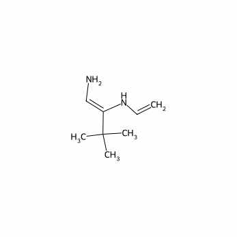 C=CN/C(=C\N)C(C)(C)C